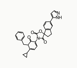 O=C1C(N2C(=O)OC3(CCc4cc(-c5ccn[nH]5)ccc43)C2=O)=CC=C(C2CC2)C1Cc1ccccc1